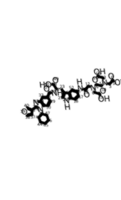 O=C(O)CN(CCN(CC(=O)O)CC(=O)Nc1ccc2[nH]cc(C[C@H](NC(=O)c3ccc4c(c3)nc(-c3ccoc3)n4C3CCCCC3)C(=O)O)c2c1)CC(=O)O